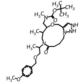 COc1ccc(COCC(C)N2CC(C)C(CN(C)C(=O)OC(C)(C)C)OCC3=CNNN3CCCC2=O)cc1